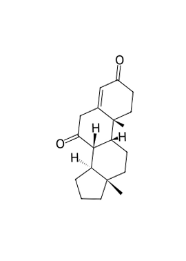 C[C@@]12CCC[C@H]1[C@@H]1C(=O)CC3=CC(=O)CC[C@]3(C)[C@@H]1CC2